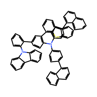 c1ccc(-n2c3ccccc3c3ccccc32)c(-c2ccc(N(c3ccc(-c4cccc5ccccc45)cc3)c3ccc(-c4cccc5ccccc45)cc3)c(-c3cccc4c3sc3ccccc34)c2)c1